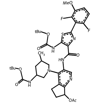 COc1ccc(F)c(-c2nc(C(=O)Nc3cnc4c(c3N3CC(C)CC(NC(=O)OC(C)(C)C)C3)CCC4OC(C)=O)c(NC(=O)OC(C)(C)C)s2)c1F